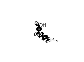 CSc1ccc(C2CCN(C(=O)c3ccc(C4(O)COC4)cc3)CC2)cc1